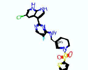 O=S(=O)(c1cccs1)N1CCC[C@H](CNc2nc(C3=CNC4NC=C(Cl)C=C34)ncc2F)C1